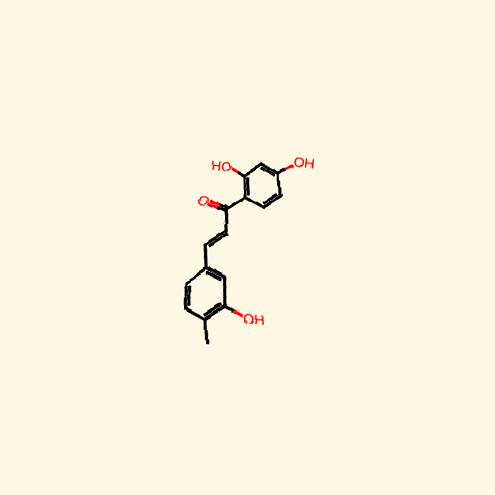 Cc1ccc(/C=C/C(=O)c2ccc(O)cc2O)cc1O